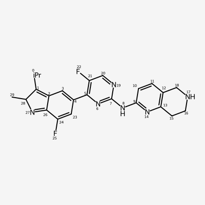 CC(C)C1=c2cc(-c3nc(Nc4ccc5c(n4)CCNC5)ncc3F)cc(F)c2=NC1C